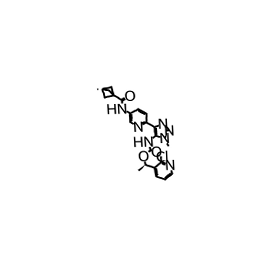 C[C@@H](OC(=O)Nc1c(-c2ccc(NC(=O)C34C[C](C3)C4)cn2)nnn1C)c1cccnc1Cl